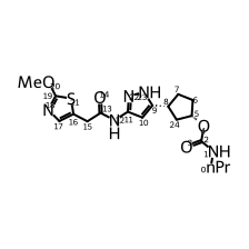 CCCNC(=O)O[C@H]1CC[C@@H](c2cc(NC(=O)Cc3cnc(OC)s3)n[nH]2)C1